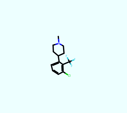 CN1CCC(c2cccc(Cl)c2C(F)(F)F)CC1